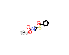 CC(C)(C)OC(=O)N1CC(SC(=O)c2ccccc2)C1